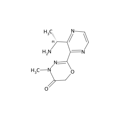 C[C@@H](N)c1nccnc1C1=NN(C)C(=O)CO1